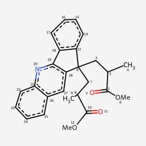 COC(=O)C(C)CC1(CC(C)C(=O)OC)c2ccccc2-c2nc3ccccc3cc21